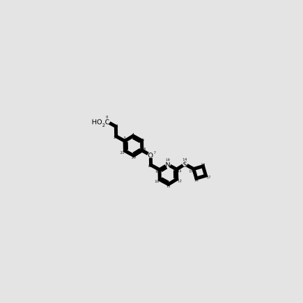 O=C(O)CCc1ccc(OCc2cccc(SC3CCC3)n2)cc1